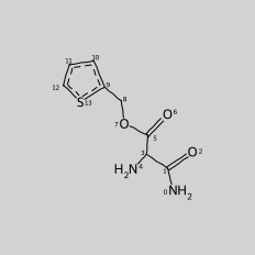 NC(=O)C(N)C(=O)OCc1cccs1